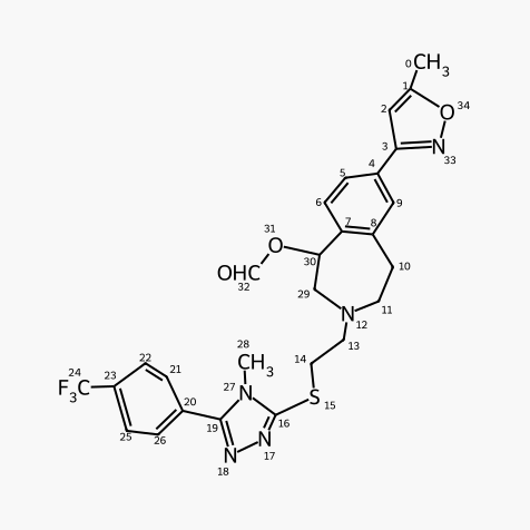 Cc1cc(-c2ccc3c(c2)CCN(CCSc2nnc(-c4ccc(C(F)(F)F)cc4)n2C)CC3OC=O)no1